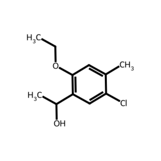 CCOc1cc(C)c(Cl)cc1C(C)O